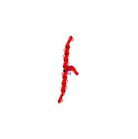 C=CC(=O)CCCCCOC1C=CC(OC(=O)C2CCC(OC(=O)C3C=CC(C(=O)OC4C=C5C(=CC4)C4C=CC(OC(=O)c6ccc(C(=O)OC7CCC(C(=O)OC8C=CC(OCCCOC(=O)C=C)CC8)CC7)cc6)CC4C4=NC6CC=C(OOCCOC)CC6NC54)CC3)CC2)CC1